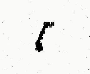 C/C(=C\CCC1(C)CCC2=CCC(C)C(C)C2O1)CC/C=C(\C)CCCC(C)C(=O)O